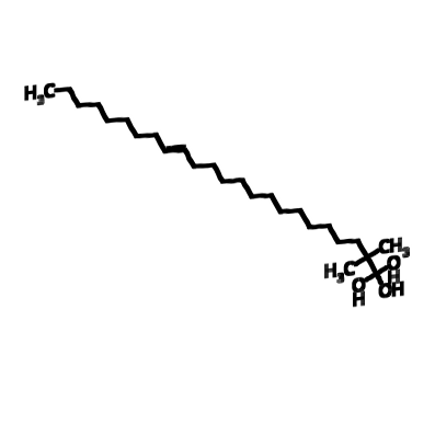 CCCCCCCCC=CCCCCCCCCCCCCC(C)(C)C(O)(O)O